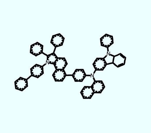 C1=CC2c3cc(N(c4ccc(-c5cccc6c5ccc5c(-c7ccccc7)c(-c7ccccc7)n(-c7ccc(-c8ccccc8)cc7)c56)cc4)c4cccc5ccccc45)ccc3N(c3ccccc3)C2C=C1